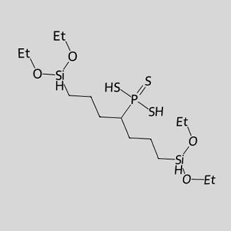 CCO[SiH](CCCC(CCC[SiH](OCC)OCC)P(=S)(S)S)OCC